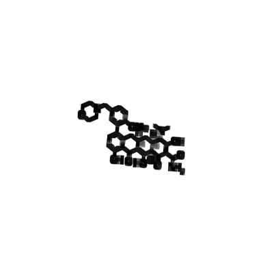 COc1ccc(CN2CCOCC2)cc1-c1ccc(O)c2c1C[C@H]1C[C@H]3[C@H](N(C)C)C(O)=C(C(N)=O)C(=O)[C@@]3(O)C(O)=C1C2=O